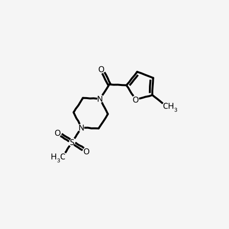 Cc1ccc(C(=O)N2CCN(S(C)(=O)=O)CC2)o1